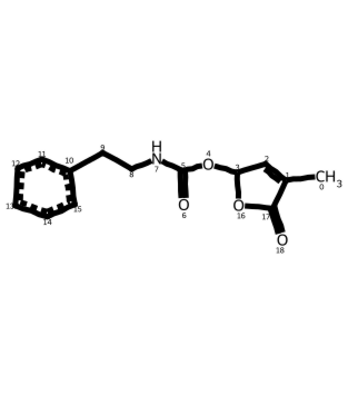 CC1=CC(OC(=O)NCCc2ccccc2)OC1=O